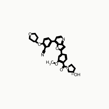 COc1cc(-c2cc3nccc(-c4ccc(OC5CCOCC5)c(C#N)c4)c3o2)ccc1C(=O)N1CC[C@H](O)C1